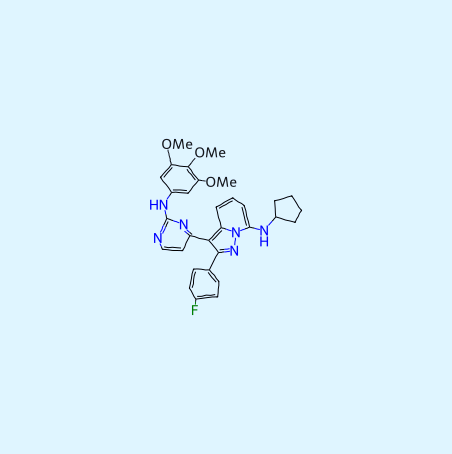 COc1cc(Nc2nccc(-c3c(-c4ccc(F)cc4)nn4c(NC5CCCC5)cccc34)n2)cc(OC)c1OC